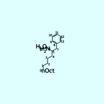 CCCCCCCCCCCCC(N)Cc1ccccc1.O